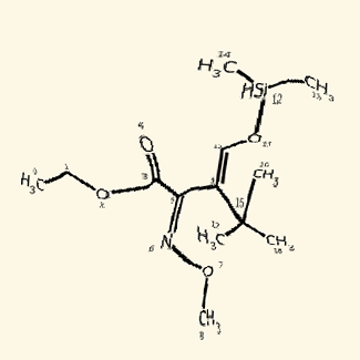 CCOC(=O)C(=NOC)C(=CO[SiH](C)C)C(C)(C)C